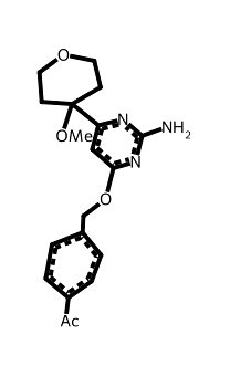 COC1(c2cc(OCc3ccc(C(C)=O)cc3)nc(N)n2)CCOCC1